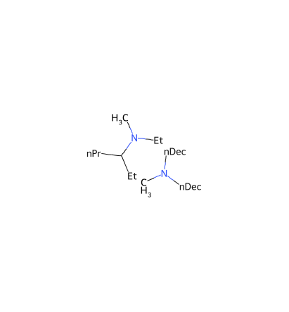 CCCC(CC)N(C)CC.CCCCCCCCCCN(C)CCCCCCCCCC